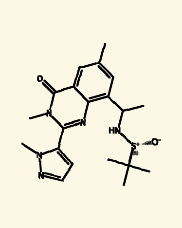 Cc1cc(C(C)N[S@+]([O-])C(C)(C)C)c2nc(-c3ccnn3C)n(C)c(=O)c2c1